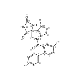 Cc1ccc(-c2ccc(F)cc2C(=O)NCC2(c3nccn3C)NC(=O)NC2=O)cc1